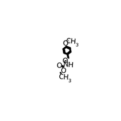 CCOC(=O)NOCc1ccc(OC)cc1